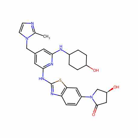 Cc1nccn1Cc1cc(Nc2nc3ccc(N4C[C@@H](O)CC4=O)cc3s2)nc(NC2CCC(O)CC2)c1